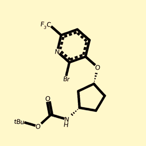 CC(C)(C)OC(=O)N[C@H]1CC[C@@H](Oc2ccc(C(F)(F)F)nc2Br)C1